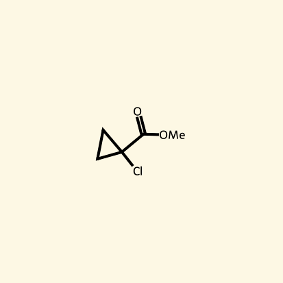 COC(=O)C1(Cl)CC1